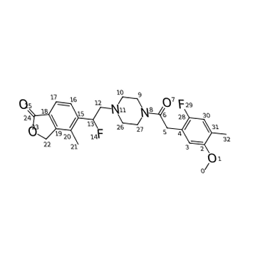 COc1cc(CC(=O)N2CCN(CC(F)c3ccc4c(c3C)COC4=O)CC2)c(F)cc1C